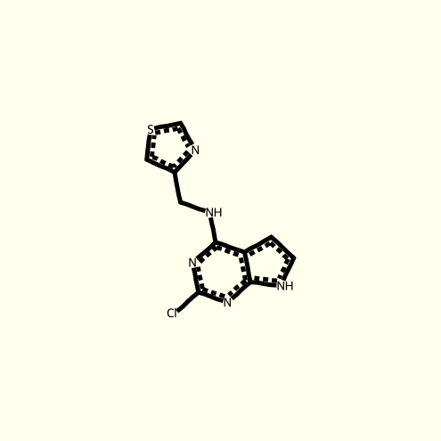 Clc1nc(NCc2cscn2)c2cc[nH]c2n1